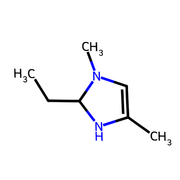 CCC1NC(C)=CN1C